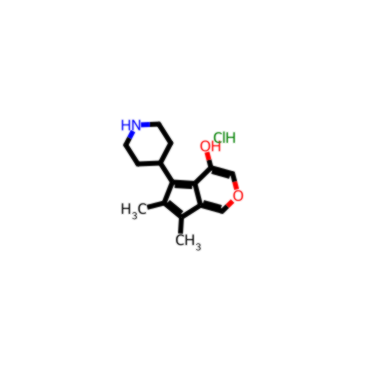 Cc1c2cocc(O)c-2c(C2CCNCC2)c1C.Cl